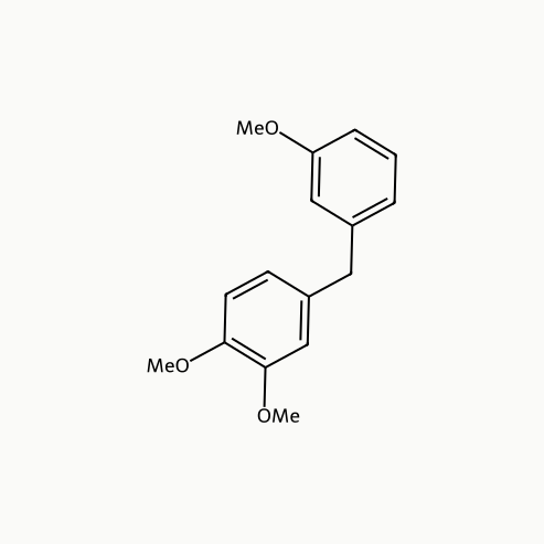 COc1cccc(Cc2ccc(OC)c(OC)c2)c1